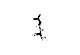 CC(C)/C=N/NC(N)=O